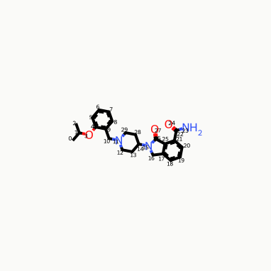 CC(C)Oc1ccccc1CN1CCC(N2Cc3cccc(C(N)=O)c3C2=O)CC1